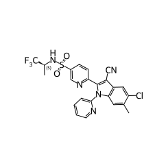 Cc1cc2c(cc1Cl)c(C#N)c(-c1ccc(S(=O)(=O)N[C@@H](C)C(F)(F)F)cn1)n2-c1ccccn1